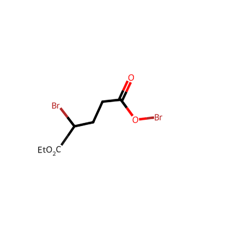 CCOC(=O)C(Br)CCC(=O)OBr